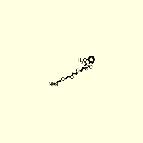 Cc1ccccc1S(=O)(=O)OCCOCCOCCOCCN=[N+]=[N-]